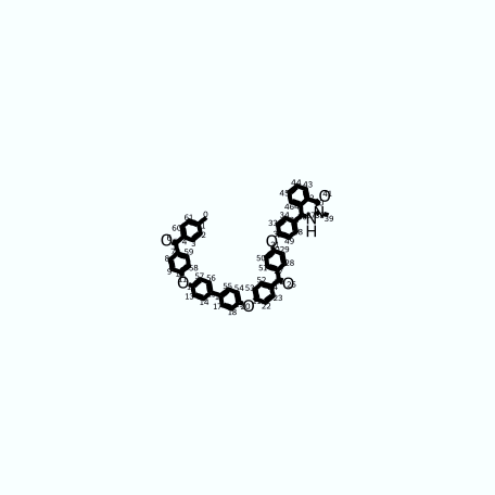 Cc1ccc(C(=O)c2ccc(Oc3ccc(-c4ccc(Oc5ccc(C(=O)c6ccc(Oc7ccc(C8NN(C)C(=O)c9ccccc98)cc7)cc6)cc5)cc4)cc3)cc2)cc1